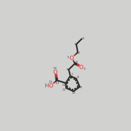 CCCOC(=O)Cc1ccccc1C(=O)O